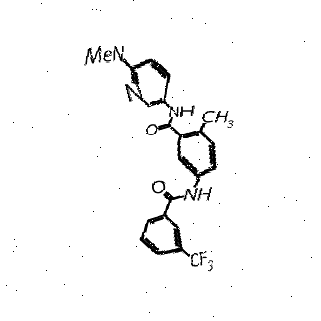 CNc1ccc(NC(=O)c2cc(NC(=O)c3cccc(C(F)(F)F)c3)ccc2C)cn1